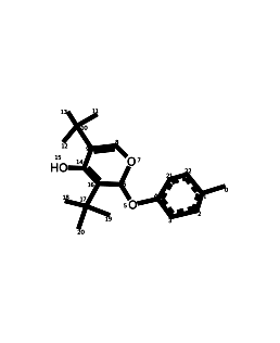 Cc1ccc(OC2OC=C(C(C)(C)C)C(O)=C2C(C)(C)C)cc1